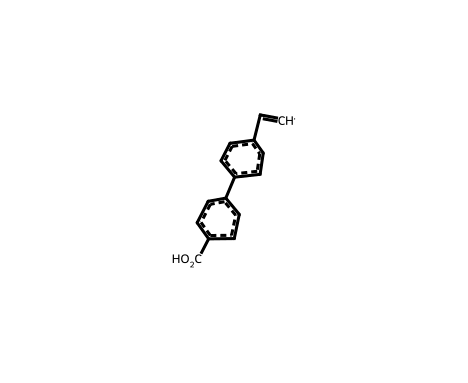 [CH]=Cc1ccc(-c2ccc(C(=O)O)cc2)cc1